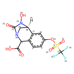 O=C(O)C1c2ccc(OS(=O)(=O)C(F)(F)F)cc2[C@H]2CN1C(=O)N2O